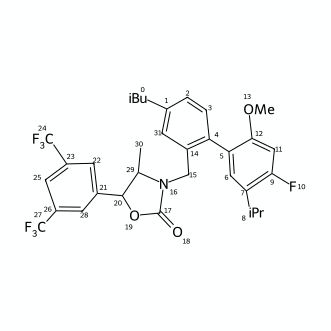 CCC(C)c1ccc(-c2cc(C(C)C)c(F)cc2OC)c(CN2C(=O)OC(c3cc(C(F)(F)F)cc(C(F)(F)F)c3)C2C)c1